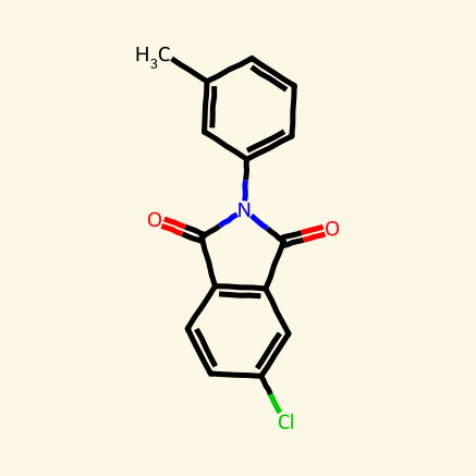 Cc1cccc(N2C(=O)c3ccc(Cl)cc3C2=O)c1